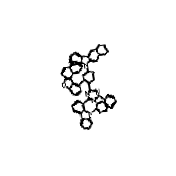 c1ccc(-c2nc(-c3ccc(-n4c5ccccc5c5cc6ccccc6cc54)cc3-c3cccc4oc5ccc6ccccc6c5c34)nc(-c3cccc4c5ccccc5n(-c5ccccc5)c34)n2)cc1